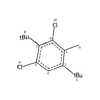 Cc1c(C(C)(C)C)cc(Cl)c(C(C)(C)C)c1Cl